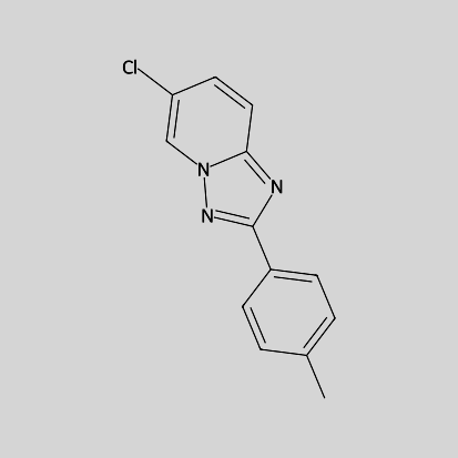 Cc1ccc(-c2nc3ccc(Cl)cn3n2)cc1